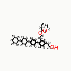 C=CC(=O)OCCc1cc(CCO)ccc1-c1ccc(C2CCC(C3CCCCC3)CC2)cc1